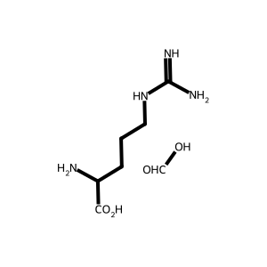 N=C(N)NCCCC(N)C(=O)O.O=CO